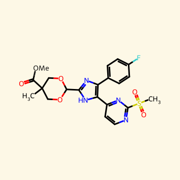 COC(=O)C1(C)COC(c2nc(-c3ccc(F)cc3)c(-c3ccnc(S(C)(=O)=O)n3)[nH]2)OC1